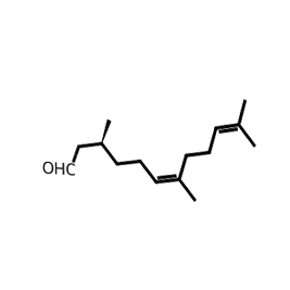 CC(C)=CCCC(C)=CCC[C@H](C)CC=O